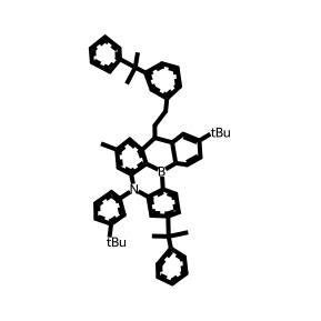 Cc1cc2c3c(c1)N(c1cccc(C(C)(C)C)c1)c1cc(C(C)(C)c4ccccc4)ccc1B3C1C=CC(C(C)(C)C)=CC1C2CCc1cccc(C(C)(C)c2ccccc2)c1